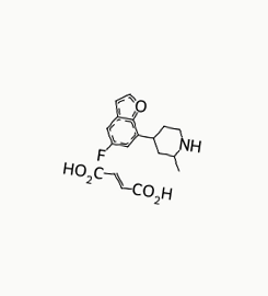 CC1CC(c2cc(F)cc3ccoc23)CCN1.O=C(O)/C=C/C(=O)O